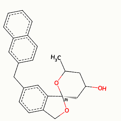 CC1CC(O)C[C@@]2(OCc3ccc(Cc4ccc5ccccc5c4)cc32)O1